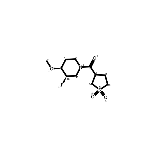 CO[C@H]1CCN(C(=O)C2CCS(=O)(=O)C2)C[C@H]1F